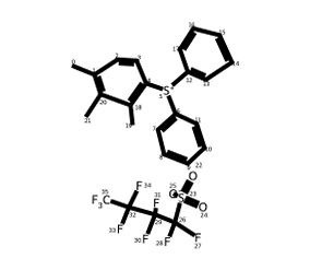 Cc1ccc([S+](c2ccccc2)c2ccccc2)c(C)c1C.O=S(=O)([O-])C(F)(F)C(F)(F)C(F)(F)C(F)(F)F